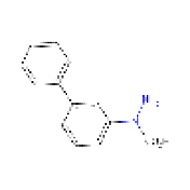 NN(C(=O)O)c1cccc(-c2ccccc2)c1